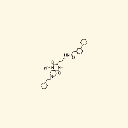 CCCN1C(=O)[C@H](CCCCNC(=O)Cc2cccc(-c3ccccc3)c2)NC(=O)C12CCN(CCc1ccccc1)CC2